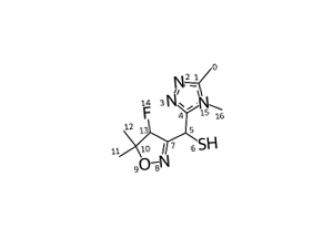 Cc1nnc(C(S)C2=NOC(C)(C)C2F)n1C